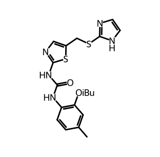 Cc1ccc(NC(=O)Nc2ncc(CSc3ncc[nH]3)s2)c(OCC(C)C)c1